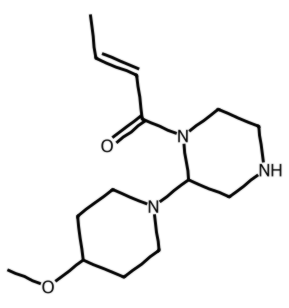 CC=CC(=O)N1CCNCC1N1CCC(OC)CC1